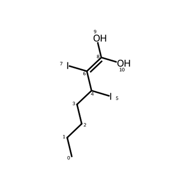 CCCCC(I)C(I)=C(O)O